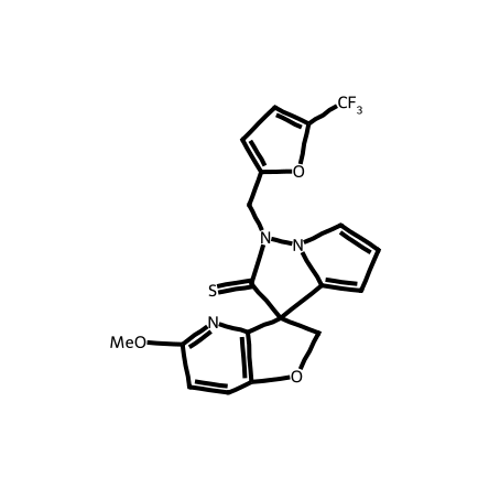 COc1ccc2c(n1)C1(CO2)C(=S)N(Cc2ccc(C(F)(F)F)o2)n2cccc21